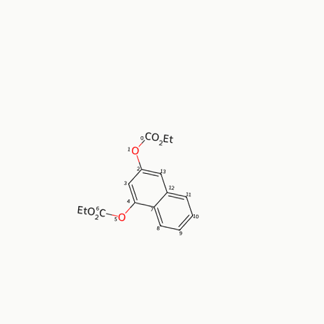 CCOC(=O)Oc1cc(OC(=O)OCC)c2ccccc2c1